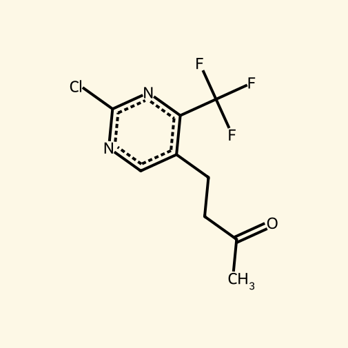 CC(=O)CCc1cnc(Cl)nc1C(F)(F)F